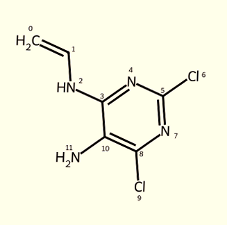 C=CNc1nc(Cl)nc(Cl)c1N